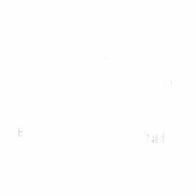 CC[C@@H]1CCC[C@H](C(N)=O)C1